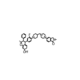 C[C@@H]1OC2=CC(O)CC=C2C(c2ccc(N3CCC(CN4CCN(c5ccc6c(c5)CN(C)C6=O)CC4)CC3)c(F)c2)C1c1ccccc1